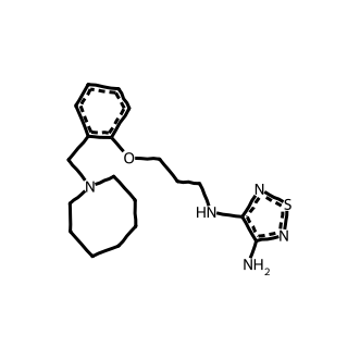 Nc1nsnc1NCCCOc1ccccc1CN1CCCCCCC1